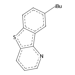 CCC(C)c1ccc2sc3cccnc3c2c1